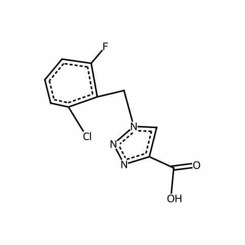 O=C(O)c1cn(Cc2c(F)cccc2Cl)nn1